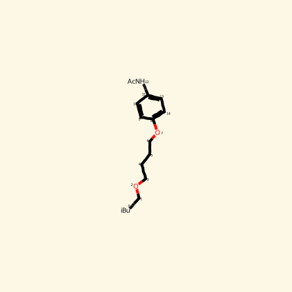 CCC(C)COCCCCOc1ccc(NC(C)=O)cc1